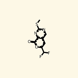 CSc1ncc2cc(C(F)F)oc(=O)c2n1